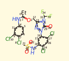 CCC(=O)Nc1ccc(Cl)c(Cl)c1.Cc1nn(-c2cc(NS(C)(=O)=O)c(Cl)cc2Cl)c(=O)n1C(F)F